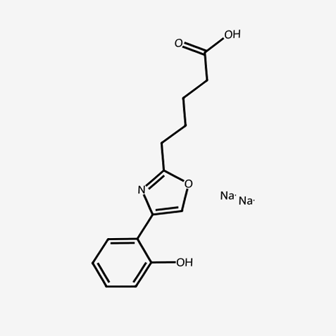 O=C(O)CCCCc1nc(-c2ccccc2O)co1.[Na].[Na]